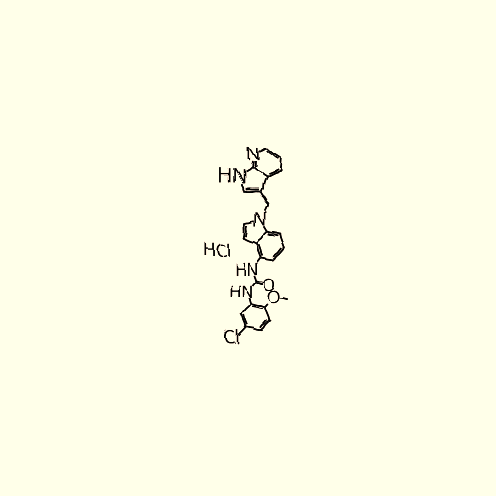 COc1ccc(Cl)cc1NC(=O)Nc1cccc2c1ccn2Cc1c[nH]c2ncccc12.Cl